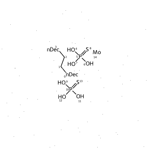 CCCCCCCCCCCCCCCCCCCCCC.OP(O)(O)=S.OP(O)(O)=S.[Mo]